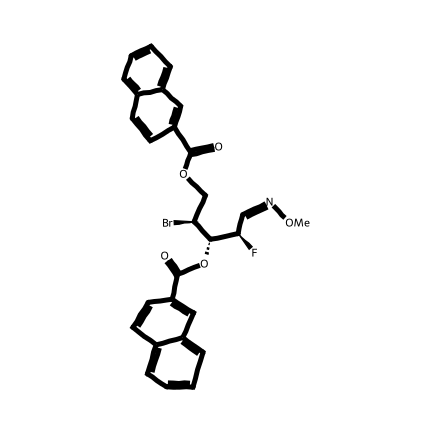 CO/N=C\[C@@H](F)[C@H](OC(=O)c1ccc2ccccc2c1)[C@@H](Br)COC(=O)c1ccc2ccccc2c1